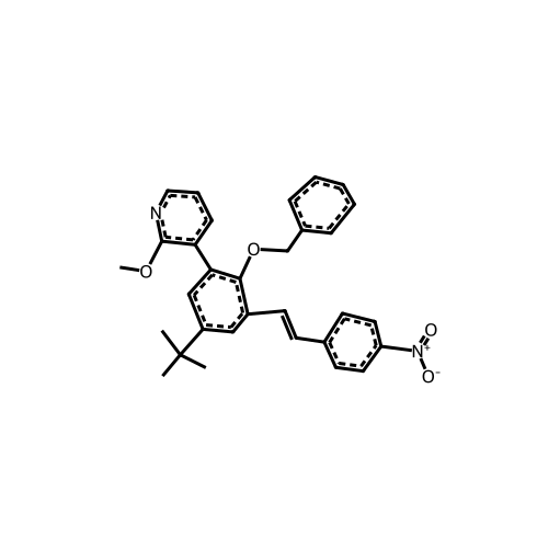 COc1ncccc1-c1cc(C(C)(C)C)cc(C=Cc2ccc([N+](=O)[O-])cc2)c1OCc1ccccc1